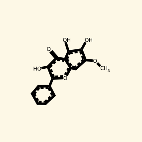 COc1cc2oc(-c3ccccc3)c(O)c(=O)c2c(O)c1O